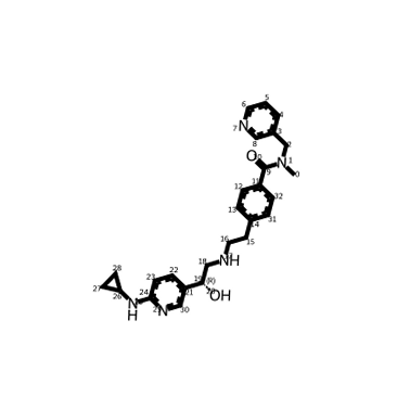 CN(Cc1cccnc1)C(=O)c1ccc(CCNC[C@H](O)c2ccc(NC3CC3)nc2)cc1